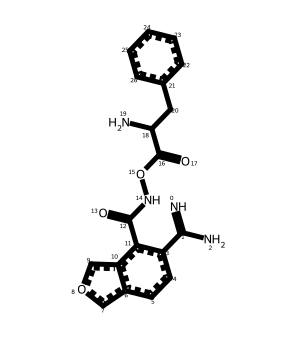 N=C(N)c1ccc2cocc2c1C(=O)NOC(=O)C(N)Cc1ccccc1